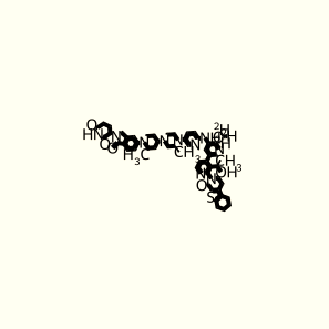 [2H]C([2H])([2H])Oc1ncc(-c2ccnc(N3CCc4c(sc5c4CCCC5)C3=O)c2[C@@H](C)O)cc1Nc1ccc(N2CCN(C3CCN(c4ccc5c(c4)CN([C@H]4CCC(=O)NC4=O)C5=O)[C@@H](C)C3)C[C@@H]2C)cn1